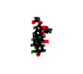 CCC(=O)OCC(=O)[C@@]1(OC(=O)CC)[C@H](C)C[C@H]2[C@@H]3CCC4=C(F)C(=O)C=C[C@]4(C)[C@@]3(F)[C@@H](O)C[C@@]21C